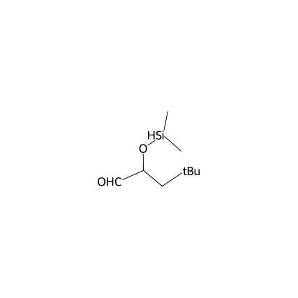 C[SiH](C)OC(C=O)CC(C)(C)C